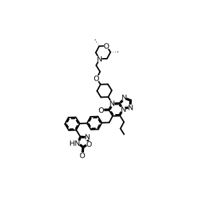 CCCc1c(Cc2ccc(-c3ccccc3-c3noc(=O)[nH]3)cc2)c(=O)n(C2CCC(OCCN3C[C@@H](C)O[C@@H](C)C3)CC2)c2ncnn12